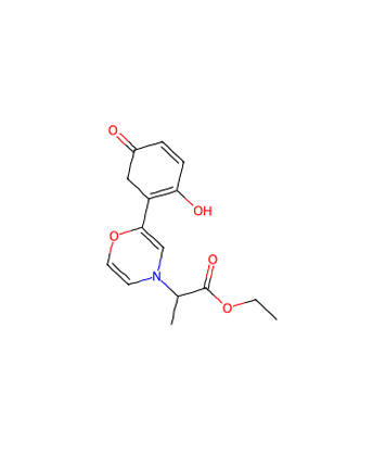 CCOC(=O)C(C)N1C=COC(C2=C(O)C=CC(=O)C2)=C1